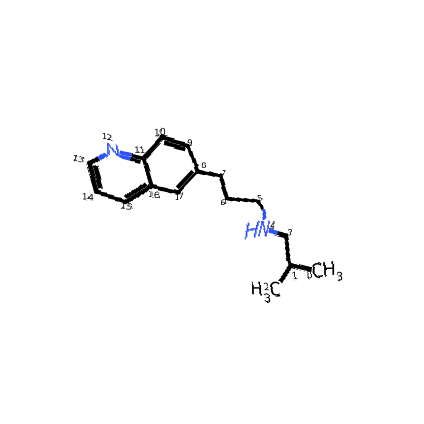 CC(C)CNCCCc1ccc2ncccc2c1